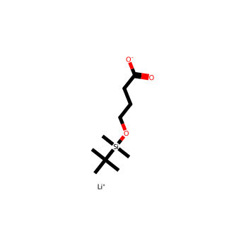 CC(C)(C)[Si](C)(C)OCCCC(=O)[O-].[Li+]